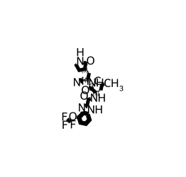 CC(C)C[C@H](NC(=O)c1nc2c(OC(F)(F)F)cccc2[nH]1)C(=O)N[C@H](C#N)C[C@@H]1CCNC1=O